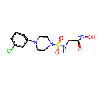 O=C(CNS(=O)(=O)N1CCN(c2cccc(Cl)c2)CC1)NO